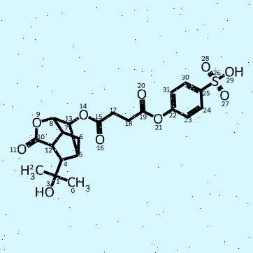 CC(C)(O)C1C2CC3C(OC(=O)C31)C2OC(=O)CCC(=O)Oc1ccc(S(=O)(=O)O)cc1